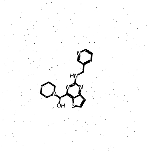 OC(c1nc(NCc2cccnc2)nc2ccsc12)N1CCCCC1